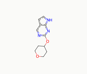 c1cc2cnc(OC3CCOCC3)nc2[nH]1